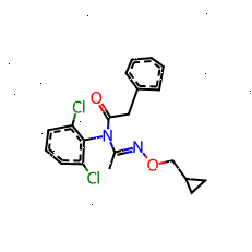 CC(=NOCC1CC1)N(C(=O)Cc1ccccc1)c1c(Cl)cccc1Cl